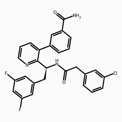 NC(=O)c1cccc(-c2cccnc2[C@H](Cc2cc(F)cc(F)c2)NC(=O)Cc2cccc(Cl)c2)c1